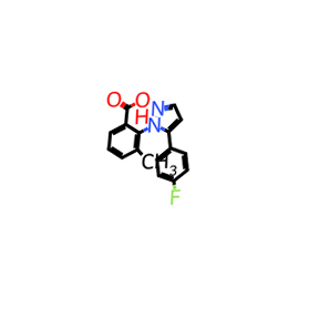 Cc1cccc(C(=O)O)c1-n1nccc1-c1ccc(F)cc1